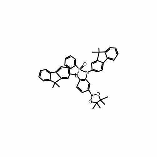 CC1(C)c2ccccc2-c2ccc(N3c4ccc(B5OC(C)(C)C(C)(C)O5)cc4N(c4ccc5c(c4)C(C)(C)c4ccccc4-5)P3(=O)c3ccccc3)cc21